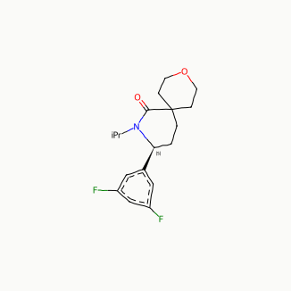 CC(C)N1C(=O)C2(CCOCC2)CC[C@H]1c1cc(F)cc(F)c1